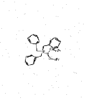 CCCO[N](OCCC)[Hf]([CH2]c1ccccc1)([CH2]c1ccccc1)[CH2]c1ccccc1